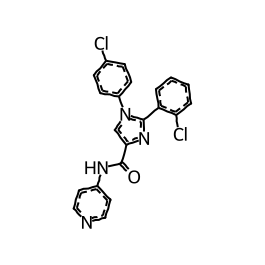 O=C(Nc1ccncc1)c1cn(-c2ccc(Cl)cc2)c(-c2ccccc2Cl)n1